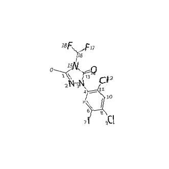 Cc1nn(-c2cc(I)c(Cl)cc2Cl)c(=O)n1C(F)F